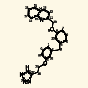 c1cc(Cc2cccc(OCc3ccc4ccccc4n3)c2)cc(OCCc2nnn[nH]2)c1